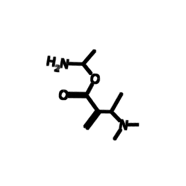 C=C(C(=O)OC(C)N)C(C)N(C)C